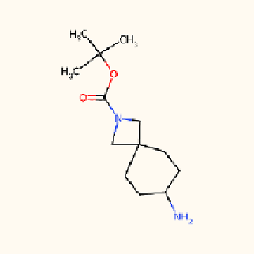 CC(C)(C)OC(=O)N1CC2(CCC(N)CC2)C1